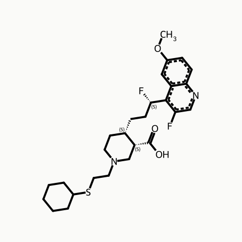 COc1ccc2ncc(F)c([C@@H](F)CC[C@H]3CCN(CCSC4CCCCC4)C[C@H]3C(=O)O)c2c1